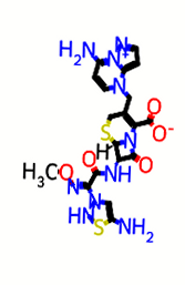 CO/N=C(\C(=O)N[C@@H]1C(=O)N2C(C(=O)[O-])=C(Cn3ccc(N)[n+]4nccc3-4)CS[C@H]12)N1C=C(N)SN1